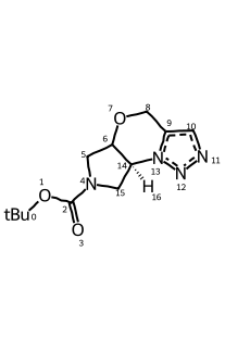 CC(C)(C)OC(=O)N1CC2OCc3cnnn3[C@H]2C1